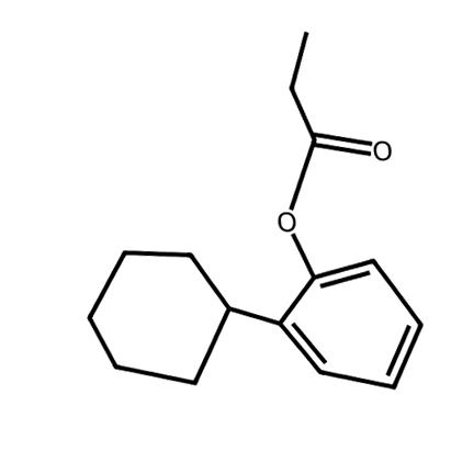 CCC(=O)Oc1ccccc1C1CCCCC1